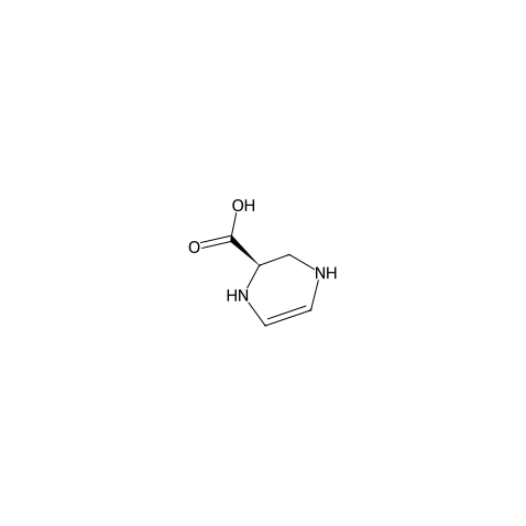 O=C(O)[C@H]1CNC=CN1